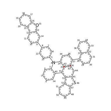 c1ccc(N(c2ccc(-c3ccc4c(c3)oc3ccccc34)cc2)c2ccc(-c3cccc4ccccc34)cc2)c(-c2cccc3sc4ccccc4c23)c1